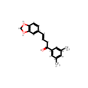 O=C(CC=Cc1ccc2c(c1)OCO2)c1cc(C(F)(F)F)cc(C(F)(F)F)c1